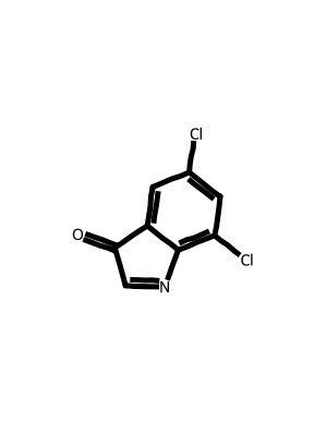 O=C1C=Nc2c(Cl)cc(Cl)cc21